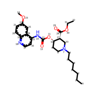 CCCCCCCN1CC[C@H](OC(=O)Nc2ccnc3ccc(OC)cc23)[C@H](C(=O)OCC)C1